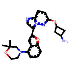 CC1(C)CN(c2cccc3oc(-c4cnc5ccc(OC6CC(N)C6)nn45)cc23)CCO1